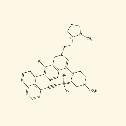 CC(C)[Si](C#Cc1cccc2cccc(-c3ncc4c(c3F)CN(OC[C@@H]3CCCN3C)C=C4N3CCN(C(=O)O)CC3)c12)(C(C)C)C(C)C